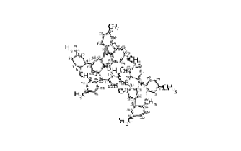 Cc1ccc(N2c3cccc(C)c3B3c4cc5c(cc4Oc4cc(-c6cc(C)ccc6C)cc2c43)N(c2ccc(C)cc2)c2cc(-c3cc(C)ccc3C)cc3c2B5c2cc(C)cc4c5cc(C)ccc5n-3c24)cc1